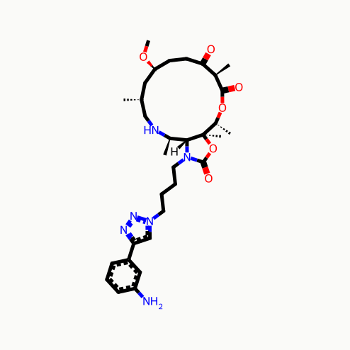 CO[C@H]1CCC(=O)[C@@H](C)C(=O)O[C@H](C)[C@@]2(C)OC(=O)N(CCCCn3cc(-c4cccc(N)c4)nn3)[C@@H]2[C@@H](C)NC[C@H](C)C1